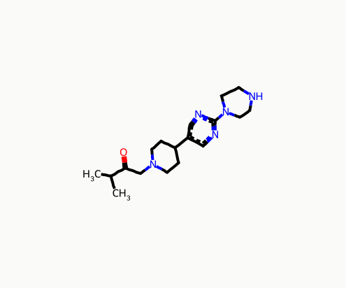 CC(C)C(=O)CN1CCC(c2cnc(N3CCNCC3)nc2)CC1